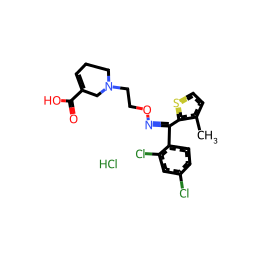 Cc1ccsc1C(=NOCCN1CCC=C(C(=O)O)C1)c1ccc(Cl)cc1Cl.Cl